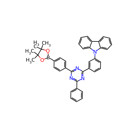 CC1(C)OB(c2ccc(-c3nc(-c4ccccc4)nc(-c4cccc(-n5c6ccccc6c6ccccc65)c4)n3)cc2)OC1(C)C